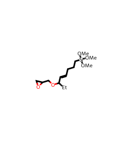 CCC(C=CCCC[Si](OC)(OC)OC)OCC1CO1